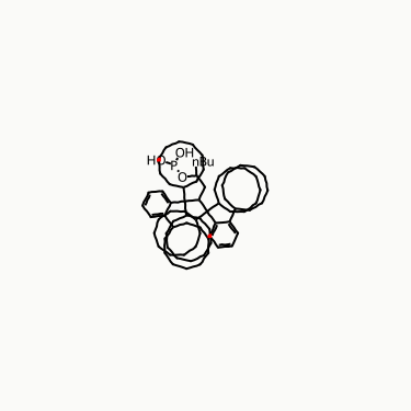 CCCCC(CC(C(c1ccccc1C1CCCCCCCCC1)(C1CCCCCCCCC1)C1CCCCCCCCC1)C(c1ccccc1C1CCCCCCCCC1)(C1CCCCCCCCC1)C1CCCCCCCCC1)OP(O)O